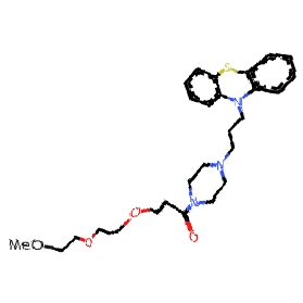 COCCOCCOCCC(=O)N1CCN(CCCN2c3ccccc3Sc3ccccc32)CC1